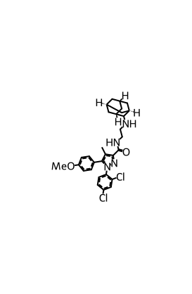 COc1ccc(-c2c(C)c(C(=O)NCCNC3[C@H]4C[C@@H]5C[C@@H](C[C@H]3C5)C4)nn2-c2ccc(Cl)cc2Cl)cc1